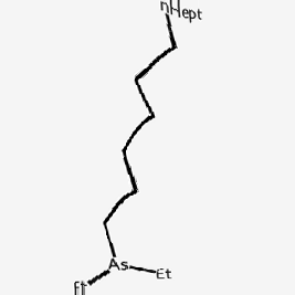 CCCCCCCCCCCCC[As](CC)CC